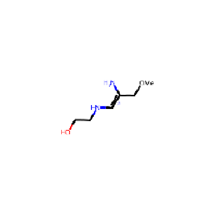 COC/C(N)=C/NCCO